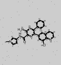 Cn1ccc(NC(=O)c2nc(-c3cc(Cl)c4ncccc4c3)c(-c3ccccc3)nc2N)c1